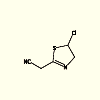 N#CCC1=NCC(Cl)S1